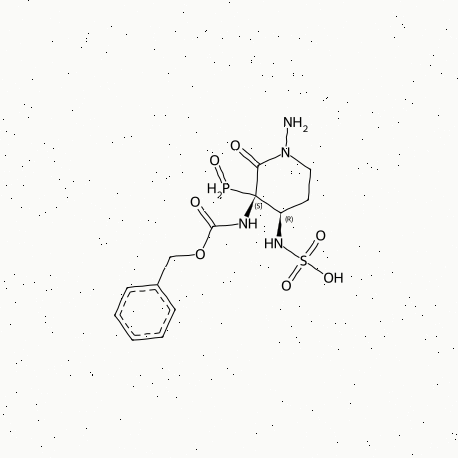 NN1CC[C@@H](NS(=O)(=O)O)[C@](NC(=O)OCc2ccccc2)([PH2]=O)C1=O